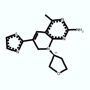 Cc1nc(N)nc2c1C=C(c1nccs1)CN2[C@H]1CCOC1